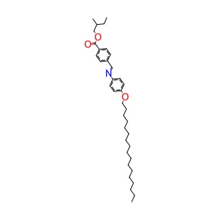 CCCCCCCCCCCCCCCCCOc1ccc(N=Cc2ccc(C(=O)OCC(C)CC)cc2)cc1